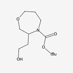 CC(C)(C)OC(=O)N1CCCOCC1CCO